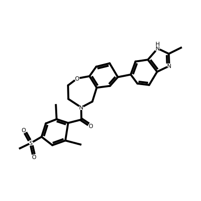 Cc1nc2ccc(-c3ccc4c(c3)CN(C(=O)c3c(C)cc(S(C)(=O)=O)cc3C)CCO4)cc2[nH]1